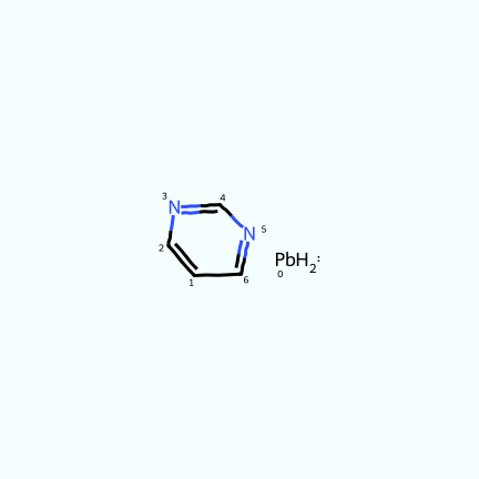 [PbH2].c1cncnc1